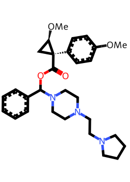 COc1ccc([C@]2(C(=O)OC(c3ccccc3)N3CCN(CCN4CCCC4)CC3)C[C@H]2OC)cc1